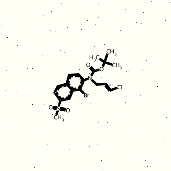 CC(C)(C)OC(=O)N(C/C=C/Cl)c1ccc2ccc(S(C)(=O)=O)cc2c1Br